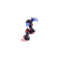 CC[C@H](C)[C@@H]([C@@H](CC(=O)N1CC[C@@H]([C@H](OC)[C@@H](C)C(=O)N[C@H](C)[C@@H](O)c2ccccc2)C1)OC)N(C)C(=O)[C@@H](NC(=O)[C@H](C(C)C)N(C)C(=O)OCc1ccc(NC(=O)[C@H](CCCNC(=N)N)NC(=O)[C@@H](NC(C)C)C(C)C)cc1)C(C)C